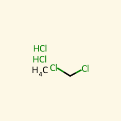 C.Cl.Cl.ClCCl